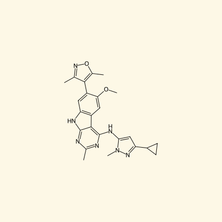 COc1cc2c(cc1-c1c(C)noc1C)[nH]c1nc(C)nc(Nc3cc(C4CC4)nn3C)c12